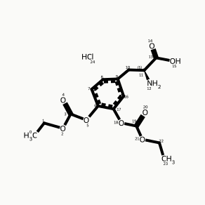 CCOC(=O)Oc1ccc(C[C@H](N)C(=O)O)cc1OC(=O)OCC.Cl